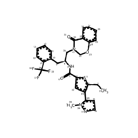 CCc1sc(C(=O)N[C@@H](Cc2ccccc2C(F)(F)F)CN2COc3ccccc3C2=O)cc1-c1ccnn1C